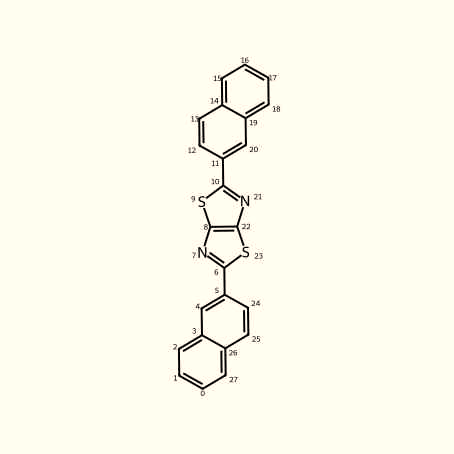 c1ccc2cc(-c3nc4sc(-c5ccc6ccccc6c5)nc4s3)ccc2c1